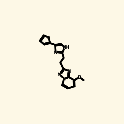 COc1cccn2nc(CCc3nc(-c4cccs4)c[nH]3)nc12